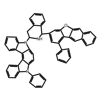 c1ccc(-c2cc(C3NC(n4c5ccccc5c5c6c7ccccc7n(-c7ccccc7)c6ccc54)Cc4ccccc43)cc3oc4cc5ccccc5cc4c23)cc1